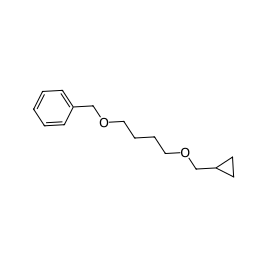 c1ccc(COCCCCOCC2CC2)cc1